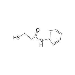 O=C(CCS)Nc1ccccc1